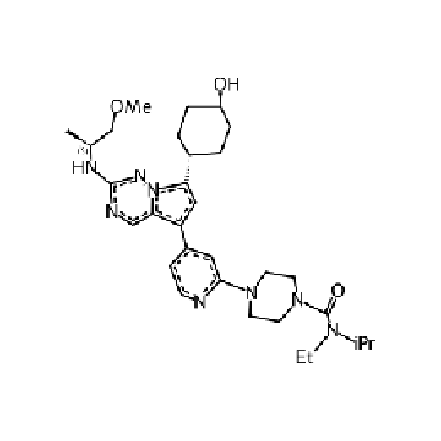 CCN(C(=O)N1CCN(c2cc(-c3cc([C@H]4CC[C@H](O)CC4)n4nc(N[C@@H](C)COC)ncc34)ccn2)CC1)C(C)C